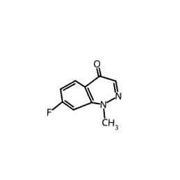 Cn1ncc(=O)c2ccc(F)cc21